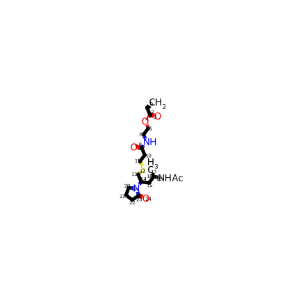 C=CC(=O)OCCNC(=O)CCSCC(CC(C)NC(C)=O)N1CCCC1=O